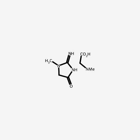 CN1CC(=O)NC1=N.CNCC(=O)O